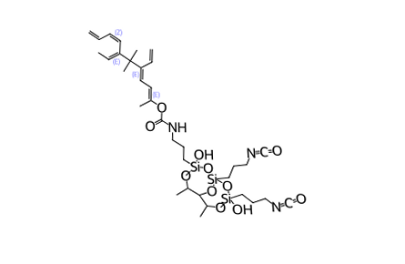 C=C/C=C\C(=C/C)C(C)(C)/C(C=C)=C/C=C(\C)OC(=O)NCCC[Si]1(O)OC(C)C2O[Si](CCCN=C=O)(O[Si](O)(CCCN=C=O)OC2C)O1